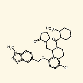 Cn1nnc2cc(COc3ccc(Cl)c4c3[C@@H](CN3CCCC3=O)N(C(=O)[C@@H]3CCCC[C@@H]3C(=O)O)CC4)ccc21